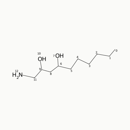 CCCCCCC(O)CC(O)CN